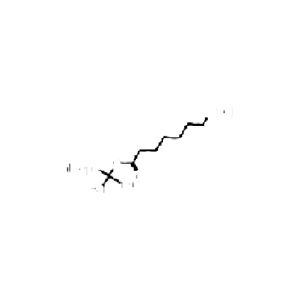 CCCCCCCC(OC(=O)CCCCCCC(=O)O)(C(C)CC)C(C)CC